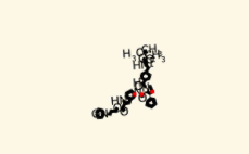 CC(C)(C)OC(=O)N[C@H](CF)C1CCC(C(=O)N2CC[C@H](c3ccccc3)[C@H]2C(=O)Nc2ccc3[nH]c(C(=O)OCCCN4CCOCC4)cc3c2)CC1